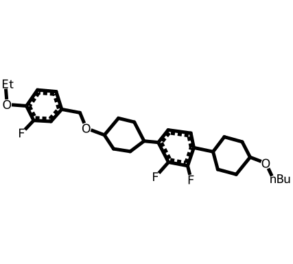 CCCCOC1CCC(c2ccc(C3CCC(OCc4ccc(OCC)c(F)c4)CC3)c(F)c2F)CC1